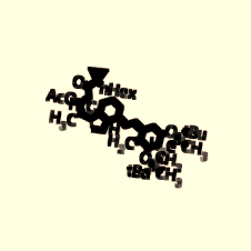 C=C1C(=CC=C2CCC[C@]3(C)[C@@H]([C@H](C)C(CC(=O)C4(CCCCCC)CC4)OC(C)=O)CC[C@@H]23)CC(O[Si](C)(C)C(C)(C)C)CC1O[Si](C)(C)C(C)(C)C